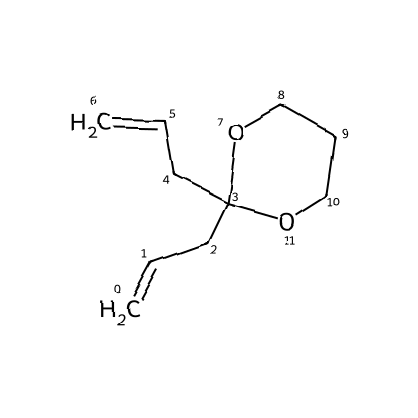 C=CCC1(CC=C)OCCCO1